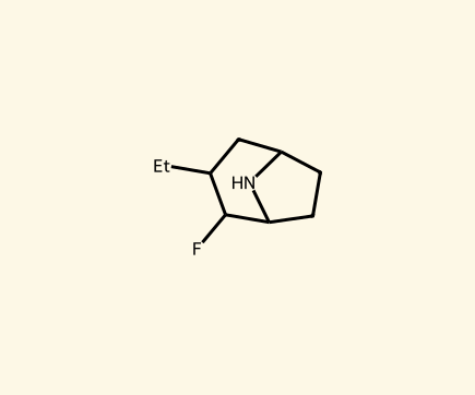 CCC1CC2CCC(N2)C1F